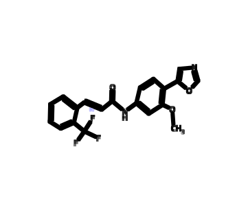 COc1cc(NC(=O)/C=C/c2ccccc2C(F)(F)F)ccc1-c1cnco1